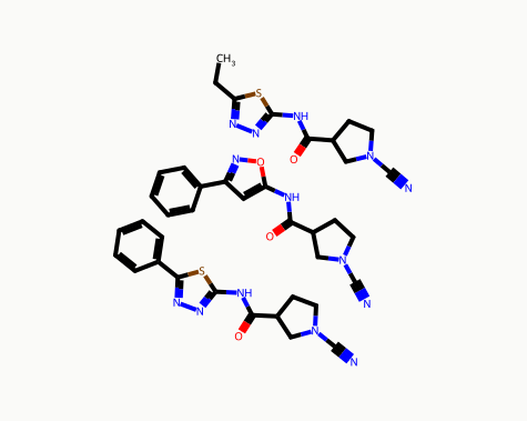 CCc1nnc(NC(=O)C2CCN(C#N)C2)s1.N#CN1CCC(C(=O)Nc2cc(-c3ccccc3)no2)C1.N#CN1CCC(C(=O)Nc2nnc(-c3ccccc3)s2)C1